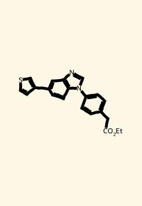 CCOC(=O)Cc1ccc(-n2cnc3cc(-c4ccsc4)ccc32)cc1